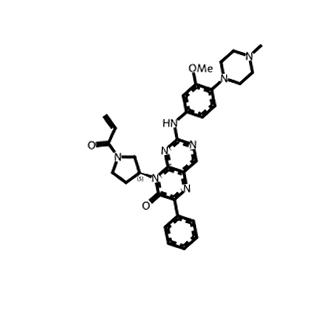 C=CC(=O)N1CC[C@H](n2c(=O)c(-c3ccccc3)nc3cnc(Nc4ccc(N5CCN(C)CC5)c(OC)c4)nc32)C1